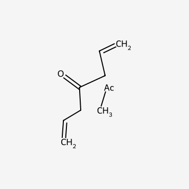 C=CCC(=O)CC=C.CC(C)=O